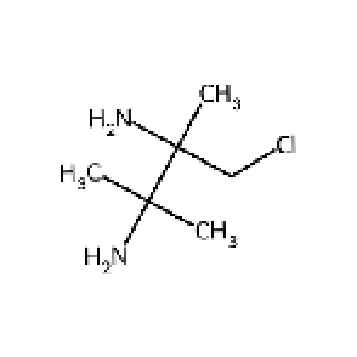 CC(C)(N)C(C)(N)CCl